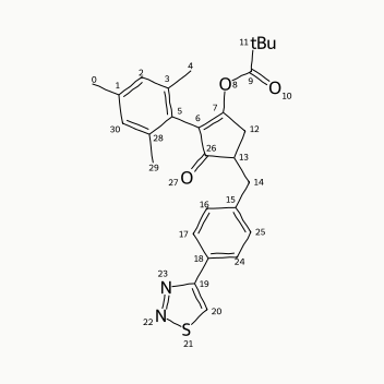 Cc1cc(C)c(C2=C(OC(=O)C(C)(C)C)CC(Cc3ccc(-c4csnn4)cc3)C2=O)c(C)c1